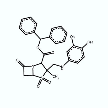 CC1(CNc2ccc(O)c(O)c2)C(C(=O)OC(c2ccccc2)c2ccccc2)N2C(=O)CC2S1(=O)=O